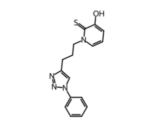 Oc1cccn(CCCc2cn(-c3ccccc3)nn2)c1=S